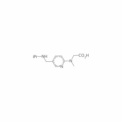 CC(C)NCc1ccc(N(C)CC(=O)O)nc1